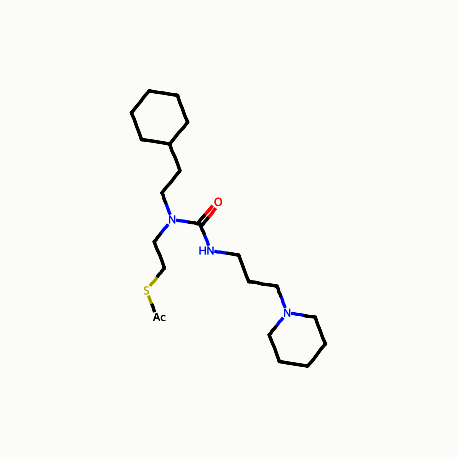 CC(=O)SCCN(CCC1CCCCC1)C(=O)NCCCN1CCCCC1